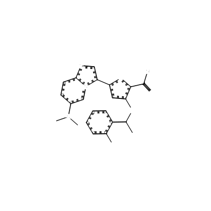 CC(Oc1cc(-c2cnc3ccc(N(C)C)cn23)sc1C(N)=O)c1ccccc1Cl